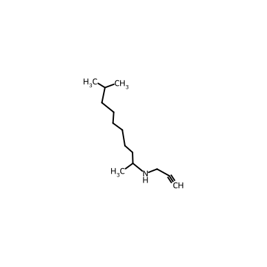 C#CCNC(C)CCCCCCC(C)C